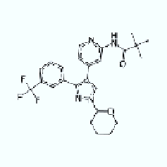 CC(C)(C)C(=O)Nc1cc(-c2cn(C3CCCCO3)nc2-c2cccc(C(F)(F)F)c2)ccn1